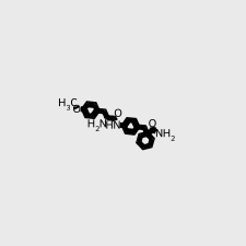 COc1ccc(CC(N)C(=O)Nc2ccc(CC3(C(N)=O)CCCCC3)cc2)cc1